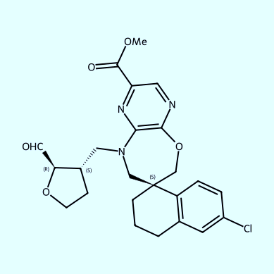 COC(=O)c1cnc2c(n1)N(C[C@@H]1CCO[C@H]1C=O)C[C@@]1(CCCc3cc(Cl)ccc31)CO2